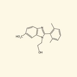 Cc1cccc(C)c1-c1nc2ccc(C(=O)O)cc2n1CCO